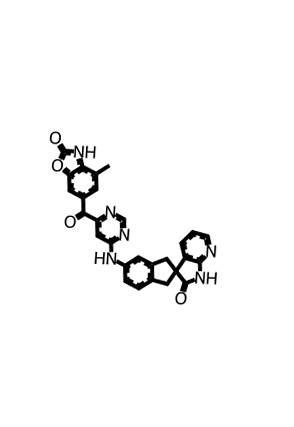 Cc1cc(C(=O)c2cc(Nc3ccc4c(c3)CC3(C4)C(=O)Nc4ncccc43)ncn2)cc2oc(=O)[nH]c12